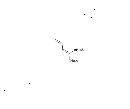 C=CC=C(CCCCCCC)CCCCCCC